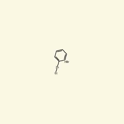 Br.C[CH2][Zn][c]1ccccc1